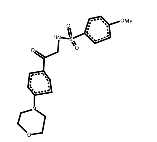 COc1ccc(S(=O)(=O)NCC(=O)c2ccc(N3CCOCC3)cc2)cc1